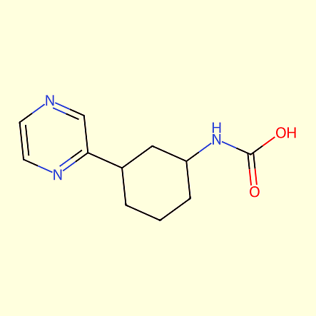 O=C(O)NC1CCCC(c2cnccn2)C1